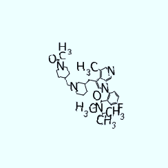 CC(=O)N1CCC(CN2CCC[C@H](Cc3cn(-c4ccc(F)cc4C(=O)N(C)C(C)C)c4cncc(C)c34)C2)CC1